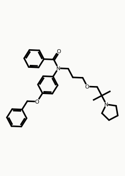 CC(C)(COCCCN(C(=O)c1ccccc1)c1ccc(OCc2ccccc2)cc1)N1CCCC1